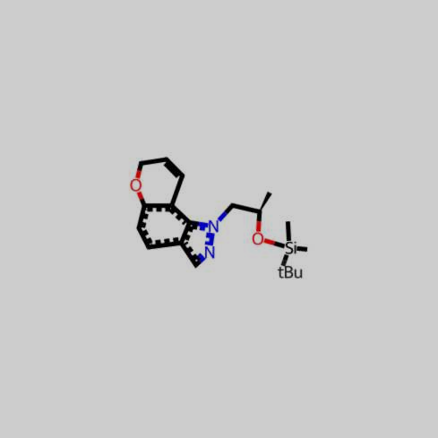 C[C@H](Cn1ncc2ccc3c(c21)C=CCO3)O[Si](C)(C)C(C)(C)C